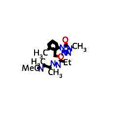 CC/C(=N/N=C(C)/C(C)=N/OC)OCc1c(C)cccc1-n1nnn(C)c1=O